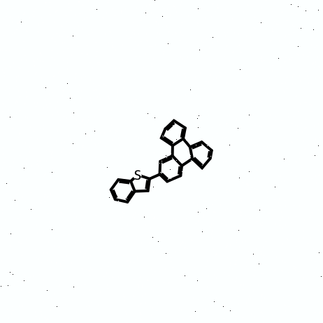 c1ccc2sc(-c3ccc4c5ccccc5c5ccccc5c4c3)cc2c1